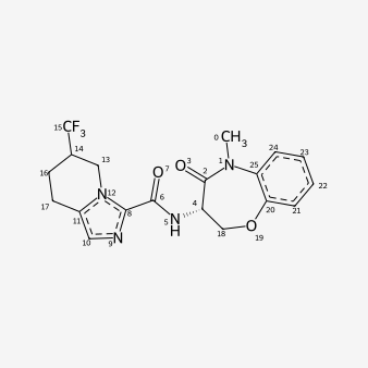 CN1C(=O)[C@@H](NC(=O)c2ncc3n2CC(C(F)(F)F)CC3)COc2ccccc21